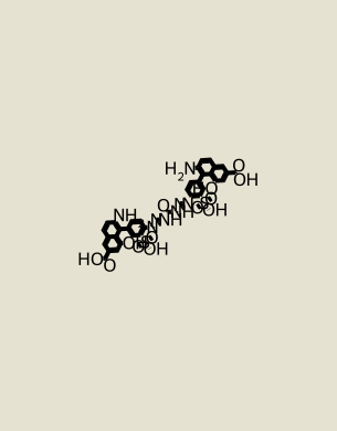 Nc1ccc2cc(C(=O)O)cc(O)c2c1-c1ccc(/N=N/NC(=O)N/N=N/c2ccc(-c3c(N)ccc4cc(C(=O)O)cc(O)c34)cc2S(=O)(=O)O)c(S(=O)(=O)O)c1